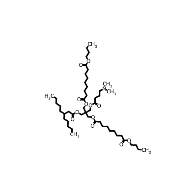 CCCCCC(CCCCC)CC(=O)OCC(COC(=O)CCCCCCCC(=O)OCCCC)(COC(=O)CCCCCCCC(=O)OCCCC)COC(=O)CCCN(C)C